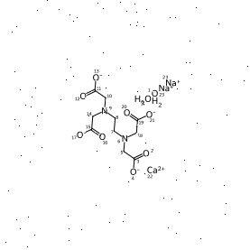 O.O.O=C([O-])CN(CCN(CC(=O)[O-])CC(=O)[O-])CC(=O)[O-].[Ca+2].[Na+].[Na+]